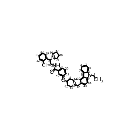 CCn1c2ccccc2c2cc(CN3CCC(Oc4cccc(C(=O)NCC(c5ccccc5Cl)N5CCCC5)c4)CC3)ccc21